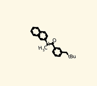 CN(C(=O)c1cccc(CC(C)(C)C)c1)c1ccc2ccccc2c1